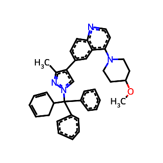 COC1CCN(c2ccnc3ccc(-c4cn(C(c5ccccc5)(c5ccccc5)C5C=CC=CC5)nc4C)cc23)CC1